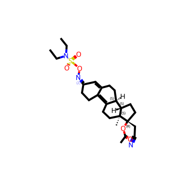 CCN(CC)S(=O)(=O)O/N=C1\C=C2CC[C@@H]3C(=C2CC1)CC[C@@]1(C)[C@H]3CC[C@]1(CC#N)OC(C)=O